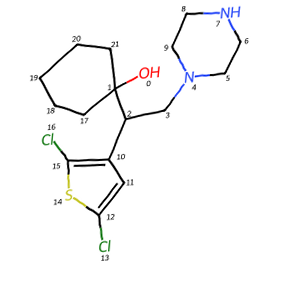 OC1(C(CN2CCNCC2)c2cc(Cl)sc2Cl)CCCCC1